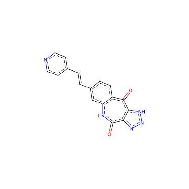 O=c1[nH]c2cc(C=Cc3ccncc3)ccc2c(=O)c2[nH]nnc12